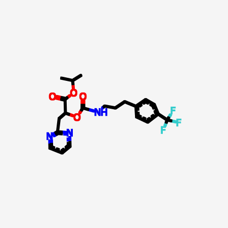 CC(C)OC(=O)C(Cc1ncccn1)OC(=O)NCCCc1ccc(C(F)(F)F)cc1